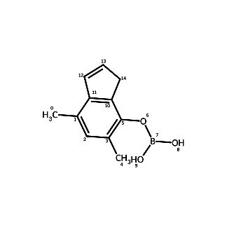 Cc1cc(C)c(OB(O)O)c2c1C=CC2